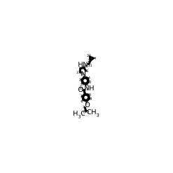 CC(C)COc1ccc(C(=O)Nc2ccc(N3CCC(NCC4CC4)C3)cc2)cc1